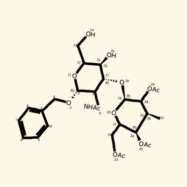 CC(=O)NC1[C@H](OCc2ccccc2)OC(CO)[C@@H](O)[C@@H]1O[C@@H]1OC(COC(C)=O)[C@H](OC(C)=O)[C@H](C)C1OC(C)=O